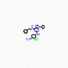 Cl.Cl.NC1CCC(Nc2nc(NCCc3ccccc3)c3ncn(C4CCCC4)c3n2)CC1